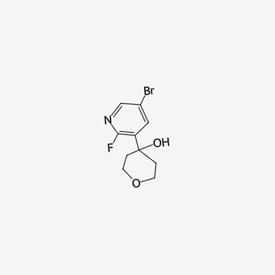 OC1(c2cc(Br)cnc2F)CCOCC1